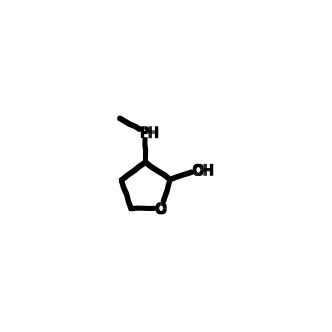 CPC1CCOC1O